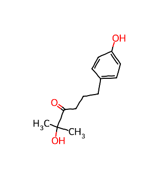 CC(C)(O)C(=O)CCCc1ccc(O)cc1